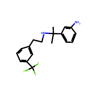 CC(C)(NCCc1cccc(C(F)(F)F)c1)c1cccc(N)c1